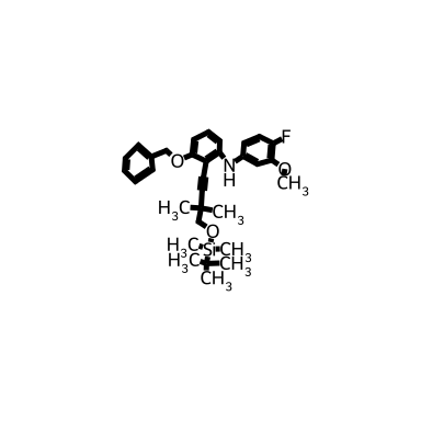 COc1cc(Nc2cccc(OCc3ccccc3)c2C#CC(C)(C)CO[Si](C)(C)C(C)(C)C)ccc1F